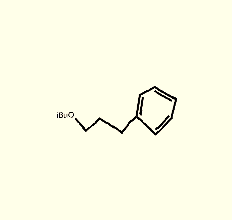 [CH2]C(C)COCCCc1ccccc1